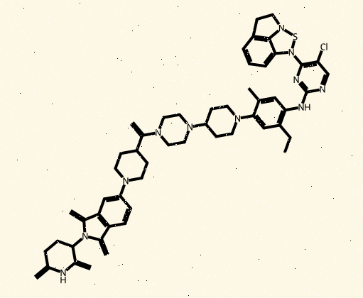 C=C1CCC(n2c(=C)c3ccc(N4CCC(C(=C)N5CCN(C6CCN(c7cc(CC)c(Nc8ncc(Cl)c(N9SN%10CCc%11cccc9c%11%10)n8)cc7C)CC6)CC5)CC4)cc3c2=C)C(=C)N1